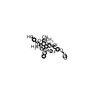 Cc1c(-c2c(C(=O)Nc3ccc(O)cc3)c(C)n(C)c2-c2cc3c(cc2C(=O)N2Cc4ccccc4C[C@H]2CN2CCCC2)CN(C(=O)Cc2c(F)cc(OCCN4CCOCC4)cc2F)CC3)cc(C#N)n1C